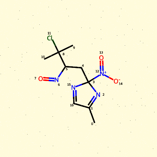 CC1=NC(CC(N=O)C(C)(C)Cl)([N+](=O)[O-])N=C1